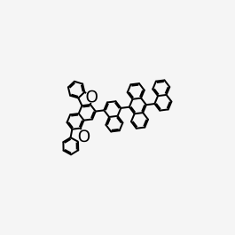 c1ccc2c(-c3c4ccccc4c(-c4ccc(-c5cc6c(ccc7c8ccccc8oc76)c6c5oc5ccccc56)c5ccccc45)c4ccccc34)cccc2c1